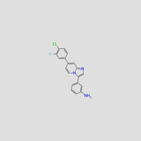 Nc1cccc(-c2cnc3cc(-c4ccc(Cl)c(F)c4)ccn23)c1